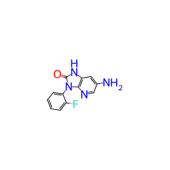 Nc1cnc2c(c1)[nH]c(=O)n2-c1ccccc1F